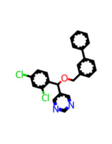 Clc1ccc(C(OCc2cccc(-c3ccccc3)c2)c2cncnc2)c(Cl)c1